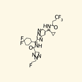 O=C(CCC(F)(F)F)N[C@@H](c1cnn2cc([C@@H](NC(=O)c3cnn(CCF)n3)C3CCC(F)(F)CC3)nc2c1)C1CC1